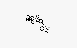 C=C(C)C(C)N[C@H]1CCCC[C@@H]1Cc1ccc2c(c1)CN(C1CCC(=O)NC1=O)C2=O